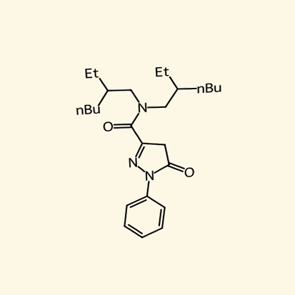 CCCCC(CC)CN(CC(CC)CCCC)C(=O)C1=NN(c2ccccc2)C(=O)C1